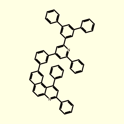 c1ccc(-c2cc(-c3ccccc3)cc(-c3cc(-c4cccc(-c5ccc6ccc7nc(-c8ccccc8)cc(-c8ccccc8)c7c6c5)c4)cc(-c4ccccc4)n3)c2)cc1